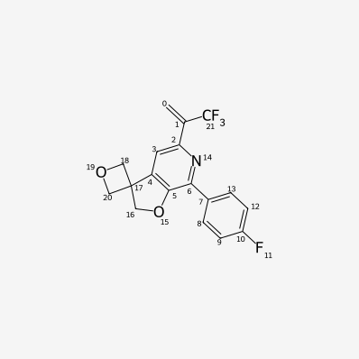 C=C(c1cc2c(c(-c3ccc(F)cc3)n1)OCC21COC1)C(F)(F)F